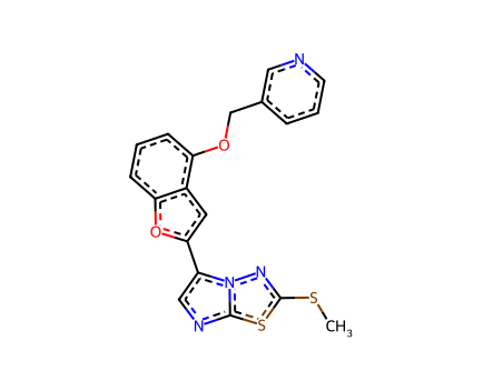 CSc1nn2c(-c3cc4c(OCc5cccnc5)cccc4o3)cnc2s1